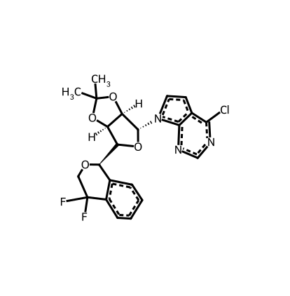 CC1(C)O[C@@H]2[C@H](O1)C([C@@H]1OCC(F)(F)c3ccccc31)O[C@H]2n1ccc2c(Cl)ncnc21